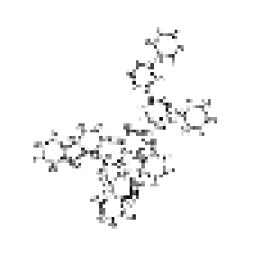 c1ccc(-c2cccc(-c3cc(-c4ccc(-c5c(-c6cccc7c6sc6ccccc67)sc6c5c(-c5ccccc5)nc5ccccc56)cc4)nc(-c4ccccc4)n3)c2)cc1